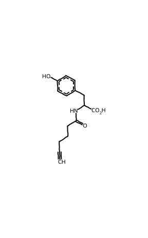 C#CCCCC(=O)NC(Cc1ccc(O)cc1)C(=O)O